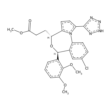 COC(=O)CC[C@H]1O[C@H](c2cccc(OC)c2OC)c2cc(Cl)ccc2-n2c(-c3nn[nH]n3)ccc21